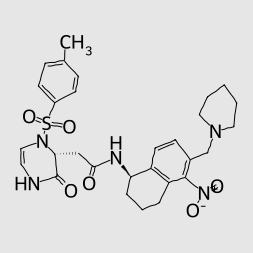 Cc1ccc(S(=O)(=O)N2C=CNC(=O)[C@H]2CC(=O)N[C@@H]2CCCc3c2ccc(CN2CCCCC2)c3[N+](=O)[O-])cc1